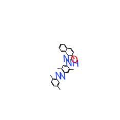 Cc1ccc(C)c(N=Nc2cc(C)c(N/N=C3\C(=O)C=Cc4ccccc43)cc2C)c1